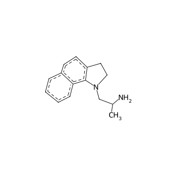 CC(N)CN1CCc2ccc3ccccc3c21